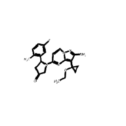 CCOC1(c2c(N)nn3ccc(N4CC(=O)CC4c4cc(F)ccc4C)nc23)CC1